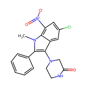 Cn1c(-c2ccccc2)c(N2CCNC(=O)C2)c2cc(Cl)cc([N+](=O)[O-])c21